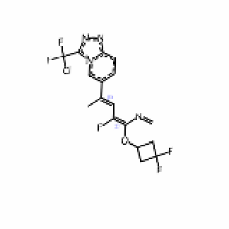 C=N/C(OC1CC(F)(F)C1)=C(F)\C=C(/C)c1ccc2nnc(C(F)(F)Cl)n2c1